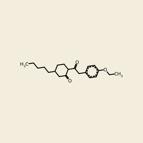 CCCCCC1CCC(C(=O)Cc2ccc(OCC)cc2)C(=O)C1